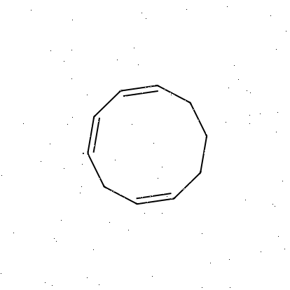 [C]1=CC=CCCCC=CC1